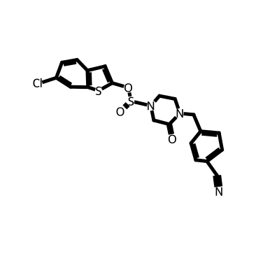 N#Cc1ccc(CN2CCN(S(=O)Oc3cc4ccc(Cl)cc4s3)CC2=O)cc1